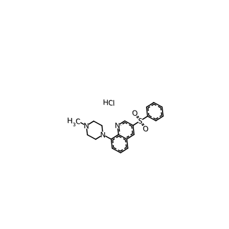 CN1CCN(c2cccc3cc(S(=O)(=O)c4ccccc4)cnc23)CC1.Cl